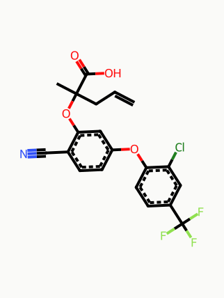 C=CCC(C)(Oc1cc(Oc2ccc(C(F)(F)F)cc2Cl)ccc1C#N)C(=O)O